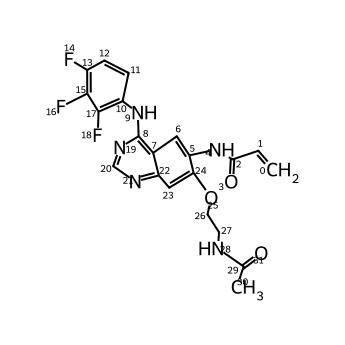 C=CC(=O)Nc1cc2c(Nc3ccc(F)c(F)c3F)ncnc2cc1OCCNC(C)=O